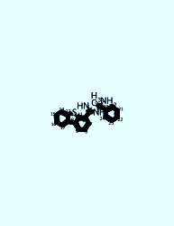 CC(N)(NC(=N)c1cccc2c1sc1ccccc12)c1ccccc1